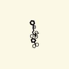 COC(=O)c1ccc(OC(CCCOc2ccccc2)C(=O)OC)cc1